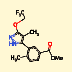 COC(=O)c1ccc(C)c(-c2[nH]nc(OCC(F)(F)F)c2C)c1